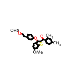 COc1ccc2c(Oc3ccc(/C=C/OC=O)cc3)c(C(=O)c3ccc(C)cc3C)sc2c1